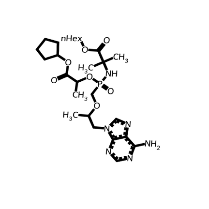 CCCCCCOC(=O)C(C)(C)NP(=O)(COC(C)Cn1cnc2c(N)ncnc21)OC(C)C(=O)OC1CCCC1